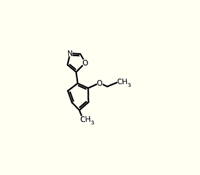 CCOc1cc(C)ccc1-c1cnco1